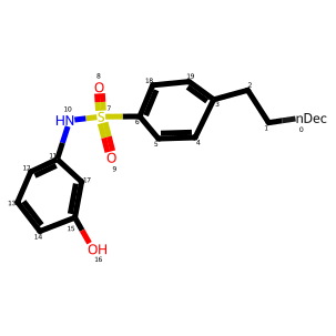 CCCCCCCCCCCCc1ccc(S(=O)(=O)Nc2cccc(O)c2)cc1